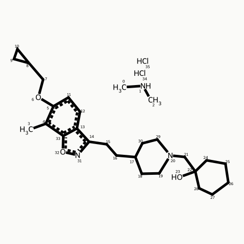 CNC.Cc1c(OCC2CC2)ccc2c(CCC3CCN(CC4(O)CCCCC4)CC3)noc12.Cl.Cl